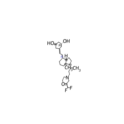 CC(CCN1CCO[C@H](C(F)F)C1)[C@H]1CC[C@H]2/C(=C/C=C3C[C@@H](O)C[C@H](O)C3)CCC[C@]12C